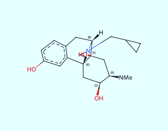 CN[C@@H]1C[C@@]2(O)[C@H]3Cc4ccc(O)cc4[C@@]2(CCN3CC2CC2)C[C@@H]1O